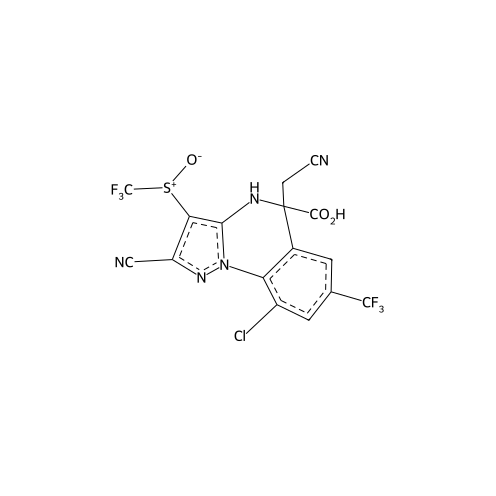 N#CCC1(C(=O)O)Nc2c([S+]([O-])C(F)(F)F)c(C#N)nn2-c2c(Cl)cc(C(F)(F)F)cc21